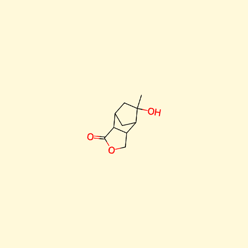 CC1(O)CC2CC1C1COC(=O)C21